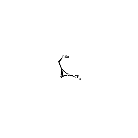 CCCCCC1=NN1C(F)(F)F